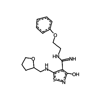 N=C(NCCOc1ccccc1)c1c(O)nsc1NCC1CCCO1